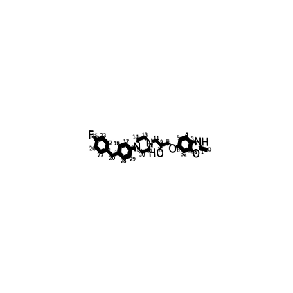 C=C1Nc2ccc(OC[C@@H](O)CN3CCN(c4ccc(Cc5ccc(F)cc5)cc4)CC3)cc2O1